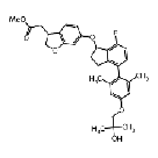 COC(=O)CC1COc2cc(OC3CCc4c(-c5c(C)cc(OCC(C)(C)O)cc5C)ccc(F)c43)ccc21